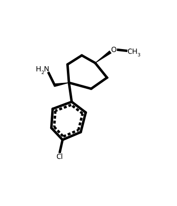 CO[C@H]1CC[C@](CN)(c2ccc(Cl)cc2)CC1